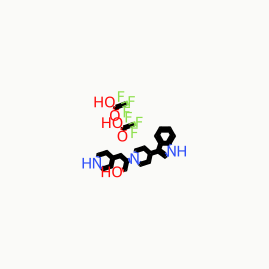 O=C(O)C(F)(F)F.O=C(O)C(F)(F)F.OCC(CC1CCNCC1)N1CCC(c2c[nH]c3ccccc23)CC1